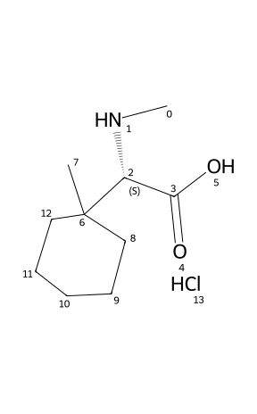 CN[C@H](C(=O)O)C1(C)CCCCC1.Cl